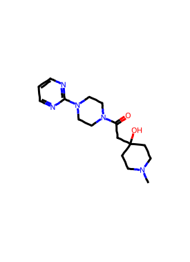 CN1CCC(O)(CC(=O)N2CCN(c3ncccn3)CC2)CC1